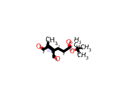 C/C(C=O)=C(/C=O)CCC(=O)OC(C)(C)C